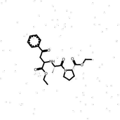 CCOC(=O)C(CC(=O)c1ccccc1)N[C@@H](C)C(=O)N1CCC[C@H]1C(=O)OCC